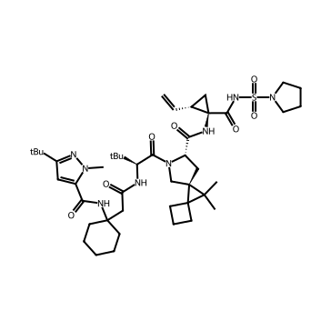 C=C[C@@H]1C[C@]1(NC(=O)[C@@H]1C[C@@]2(CN1C(=O)[C@@H](NC(=O)CC1(NC(=O)c3cc(C(C)(C)C)nn3C)CCCCC1)C(C)(C)C)C(C)(C)C21CCC1)C(=O)NS(=O)(=O)N1CCCC1